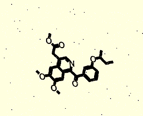 CCC(C)Oc1cccc(C(=O)c2ncc(CC(=O)OC)c3cc(OC)c(OC)cc23)c1